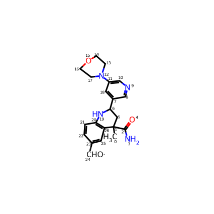 CC1(C(N)=O)CC(c2cncc(N3CCOCC3)c2)Nc2ccc([C]=O)cc21